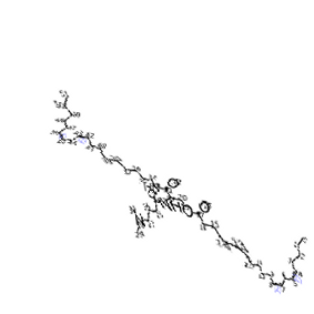 CCCC/C=C\C/C=C\CCCCCCCCC(=O)OCC(NC(=O)CCCN(C)C)C(=O)NCCCCCCCC/C=C\C/C=C\CCCCC